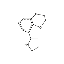 c1cc2c(c(C3CCCN3)c1)OCCO2